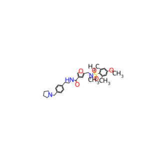 COc1cc(C)c(S(=O)(=O)N(C)Cc2cc(C(=O)NCCc3ccc(CN4CCCC4)cc3)co2)c(C)c1